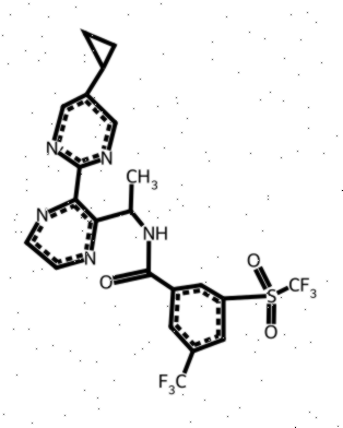 CC(NC(=O)c1cc(C(F)(F)F)cc(S(=O)(=O)C(F)(F)F)c1)c1nccnc1-c1ncc(C2CC2)cn1